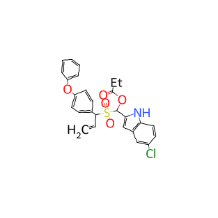 C=CC(c1ccc(Oc2ccccc2)cc1)S(=O)(=O)C(OC(=O)CC)c1cc2cc(Cl)ccc2[nH]1